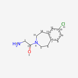 NCC(=O)N1CCc2ccc(Cl)cc2CC1